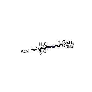 CC(=O)NCCOC(=S)CC(=O)/C(C)=C/C=C/CCCO[Si](C)(C)C(C)(C)C